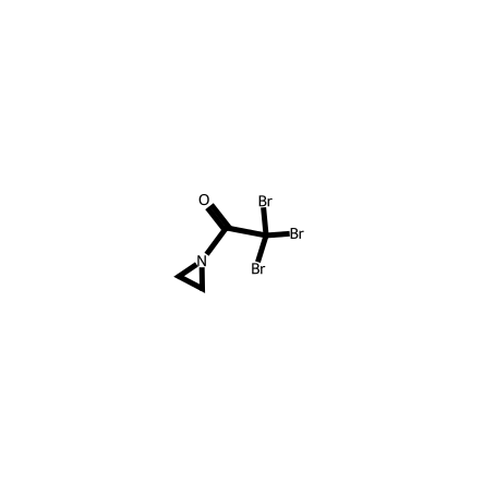 O=C(N1CC1)C(Br)(Br)Br